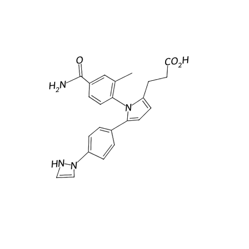 Cc1cc(C(N)=O)ccc1-n1c(CCC(=O)O)ccc1-c1ccc(-n2cc[nH]2)cc1